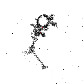 CCCC[C@H](NC(=O)[C@H](CN)NC(=O)[C@H](Cc1c[nH]cn1)NC(=O)[C@@H](CCC(N)=O)NC(=O)[C@H](CO)NC(=O)CNC(=O)COCCOCCNC(=O)[C@@H](CCC(=O)O)NC(=O)CCCCCCCCCCCCCCCc1nnn[nH]1)C(=O)N[C@H]1CCC(=O)NCCCC[C@@H](C(C)=O)NC(=O)[C@H](Cc2c[nH]c3ccccc23)NC(=O)[C@H](CCCNC(=N)N)NC(=O)[C@@H](Cc2ccccc2)NC(=O)[C@@H]2C[C@@H](O)CN2C1=O